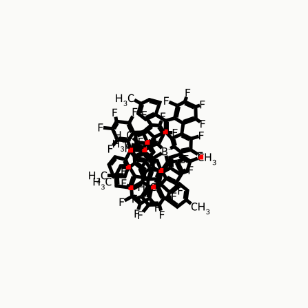 Cc1ccc(-c2c(-c3ccc(C)cc3)c3c([B-](c4c(F)c(F)c(F)c5c4c(-c4ccc(C)cc4)c(-c4ccc(C)cc4)c4c(F)c(F)c(F)c(F)c45)(c4c(F)c(F)c(F)c5c4c(-c4ccc(C)cc4)c(-c4ccc(C)cc4)c4c(F)c(F)c(F)c(F)c45)c4c(F)c(F)c(F)c5c4c(-c4ccc(C)cc4)c(-c4ccc(C)cc4)c4c(F)c(F)c(F)c(F)c45)c(F)c(F)c(F)c3c3c(F)c(F)c(F)c(F)c23)cc1